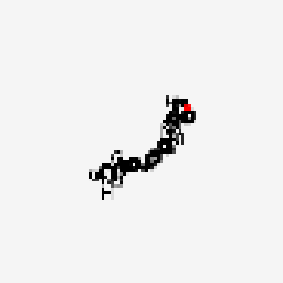 CN(C)C(=O)c1cc2cnc(Nc3ccc(N4CCN(Cc5ccc6c(c5)CN(C5CCC(=O)NC5=O)C6=O)CC4)cn3)nc2n1C1CCCC1